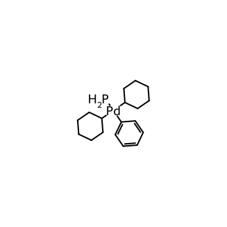 [PH2][Pd]([c]1ccccc1)([CH]1CCCCC1)[CH]1CCCCC1